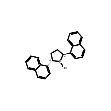 OP1[C@H](c2cccc3ccccc23)CC[C@H]1c1cccc2ccccc12